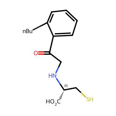 CCCCc1ccccc1C(=O)CN[C@H](CS)C(=O)O